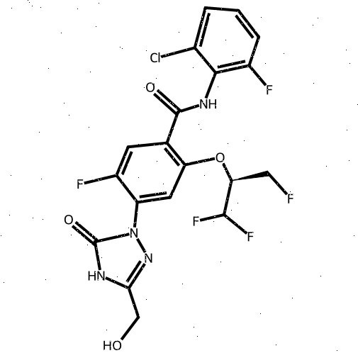 O=C(Nc1c(F)cccc1Cl)c1cc(F)c(-n2nc(CO)[nH]c2=O)cc1O[C@@H](CF)C(F)F